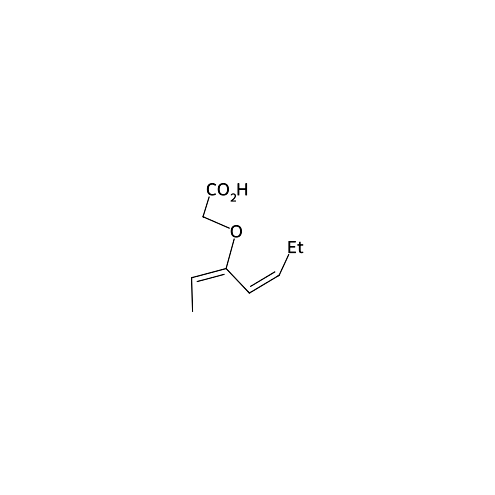 C/C=C(\C=C/CC)OCC(=O)O